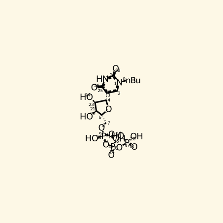 CCCCn1cc([C@@H]2O[C@H](COP(=O)(O)OP(=O)(O)OP(=O)(O)O)[C@@H](O)[C@H]2O)c(=O)[nH]c1=O